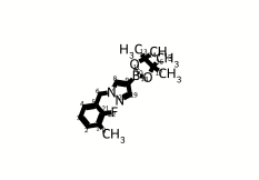 Cc1cccc(Cn2cc(B3OC(C)(C)C(C)(C)O3)cn2)c1F